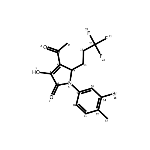 CC(=O)C1=C(O)C(=O)N(c2ccc(C)c(Br)c2)C1CCC(F)(F)F